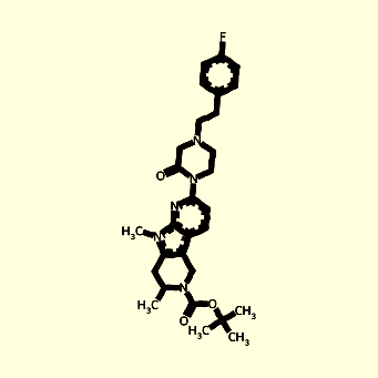 CC1Cc2c(c3ccc(N4CCN(CCc5ccc(F)cc5)CC4=O)nc3n2C)CN1C(=O)OC(C)(C)C